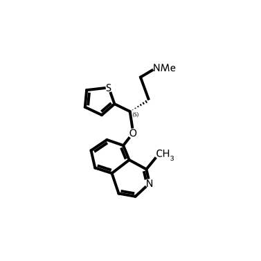 CNCC[C@H](Oc1cccc2ccnc(C)c12)c1cccs1